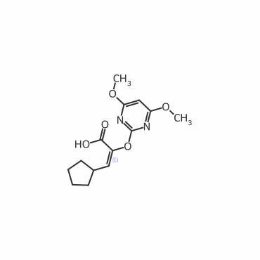 COc1cc(OC)nc(O/C(=C/C2CCCC2)C(=O)O)n1